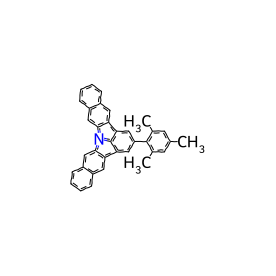 Cc1cc(C)c(-c2cc3c4cc5ccccc5cc4n4c5cc6ccccc6cc5c(c2)c34)c(C)c1